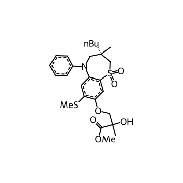 CCCC[C@@]1(C)CN(c2ccccc2)c2cc(SC)c(OCC(C)(O)C(=O)OC)cc2S(=O)(=O)C1